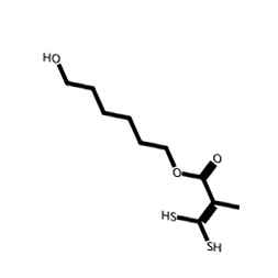 CC(C(=O)OCCCCCCO)=C(S)S